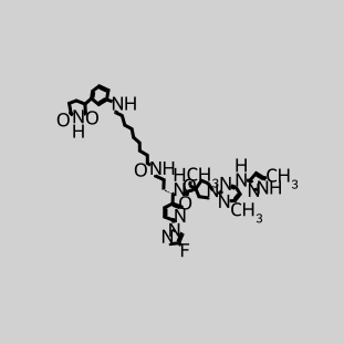 COC1(C(=O)N[C@@H](CCCNC(=O)CCCCCCCCNc2cccc(C3CCC(=O)NC3=O)c2)c2ccc(-n3cc(F)cn3)nc2)CCN(c2nc(C)cc(Nc3cc(C)[nH]n3)n2)CC1